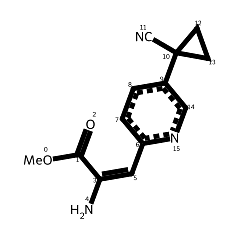 COC(=O)/C(N)=C\c1ccc(C2(C#N)CC2)cn1